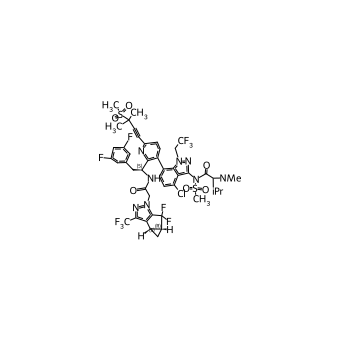 CNC(C(=O)N(c1nn(CC(F)(F)F)c2c(-c3ccc(C#CC(C)(C)S(C)(=O)=O)nc3[C@H](Cc3cc(F)cc(F)c3)NC(=O)Cn3nc(C(F)(F)F)c4c3C(F)(F)[C@@H]3C[C@H]43)ccc(Cl)c12)S(C)(=O)=O)C(C)C